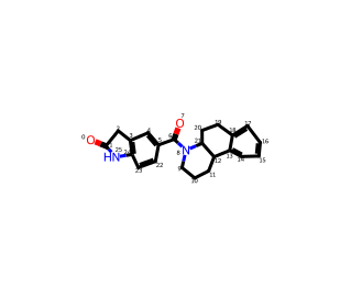 O=C1Cc2cc(C(=O)N3CCCC4c5ccccc5CCC43)ccc2N1